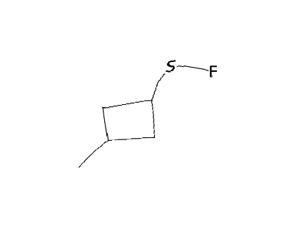 CC1CC(SF)C1